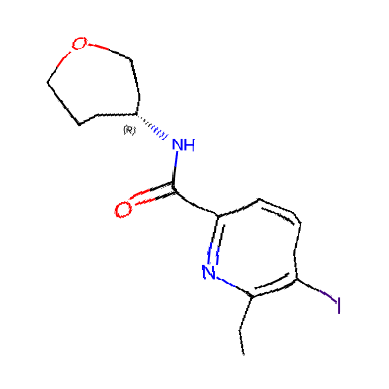 Cc1nc(C(=O)N[C@@H]2CCOC2)ccc1I